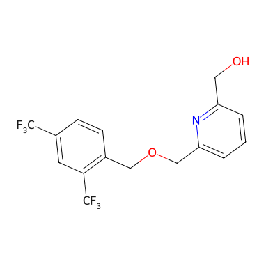 OCc1cccc(COCc2ccc(C(F)(F)F)cc2C(F)(F)F)n1